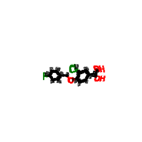 OB(O)c1ccc(OCc2ccc(F)cc2)c(Cl)c1